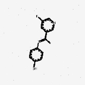 C/C(=N\c1ccc(S)cc1)c1cncc(F)c1